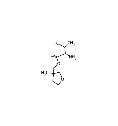 CC(C)C(N)C(=O)OCC1(C)CCOC1